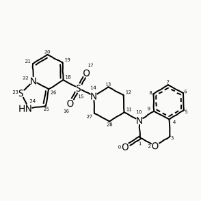 O=C1OCc2ccccc2N1C1CCN(S(=O)(=O)C2=CC=CN3SNC=C23)CC1